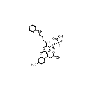 Cc1ccc(C(CC(=O)O)n2cc(C)c(NCCCNc3ccccn3)nc2=O)cc1.O=C(O)C(F)(F)F